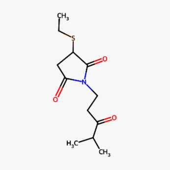 CCSC1CC(=O)N(CCC(=O)C(C)C)C1=O